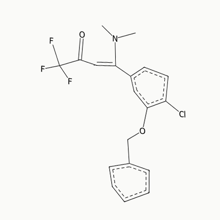 CN(C)/C(=[C]\C(=O)C(F)(F)F)c1ccc(Cl)c(OCc2ccccc2)c1